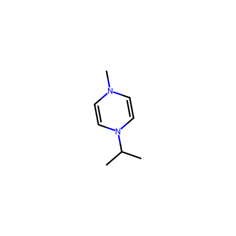 CC(C)N1C=CN(C)C=C1